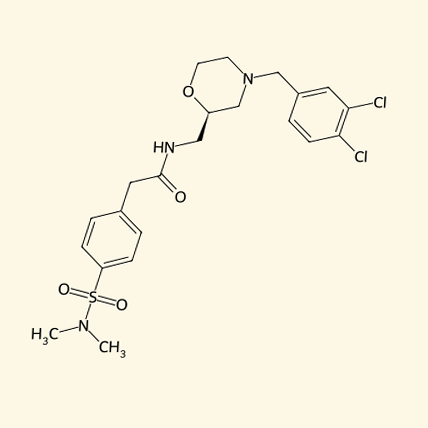 CN(C)S(=O)(=O)c1ccc(CC(=O)NC[C@@H]2CN(Cc3ccc(Cl)c(Cl)c3)CCO2)cc1